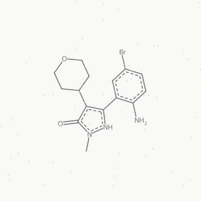 Cn1[nH]c(-c2cc(Br)ccc2N)c(C2CCOCC2)c1=O